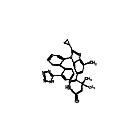 Cc1cc(C2=NNC(=O)CC2(C)C)cc2c1nc(C1CC1)n2-c1ccccc1-c1ccccc1-c1nnn[nH]1